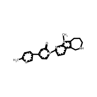 Cc1ccc(-c2ccn(-c3ccc4c5c(n(C)c4n3)CCCNC5)c(=O)c2)cn1